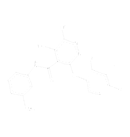 CSc1cccc(NC(=O)c2c(Oc3ccc(Cl)c(F)c3C)nnc(C(F)(F)F)c2C)c1